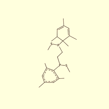 CSP(CCP(SC)C1(C)C(C)=CC(C)=CC1C)c1c(C)cc(C)cc1C